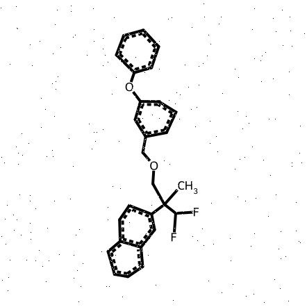 CC(COCc1cccc(Oc2ccccc2)c1)(c1ccc2ccccc2c1)C(F)F